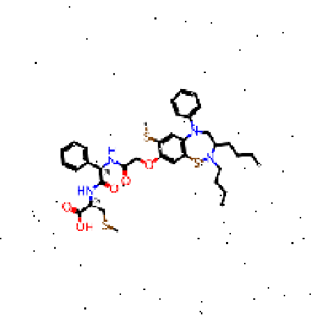 CCCCC1CN(c2ccccc2)c2cc(SC)c(OCC(=O)N[C@@H](C(=O)N[C@@H](CSC)C(=O)O)c3ccccc3)cc2SN1CCCC